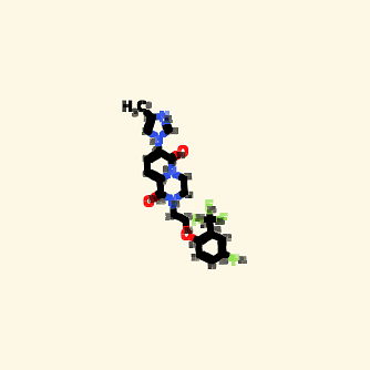 Cc1cn(-c2ccc3n(c2=O)CCN(CCOc2ccc(F)cc2C(F)(F)F)C3=O)cn1